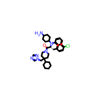 NC1CCC(N(c2ccccc2)[C@H](Cc2ccc(Cl)cc2)C(=O)N2CCC(Cn3cncn3)(C3CCCCC3)CC2)CC1